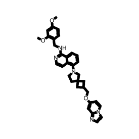 COc1ccc(CNc2nccc3c(N4CCC5(CC(COc6ccn7ccnc7c6)C5)C4)cccc23)c(OC)c1